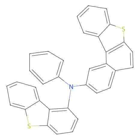 c1ccc(N(c2ccc3ccc4sc5ccccc5c4c3c2)c2cccc3sc4ccccc4c23)cc1